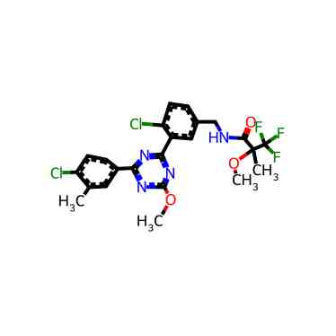 COc1nc(-c2ccc(Cl)c(C)c2)nc(-c2cc(CNC(=O)C(C)(OC)C(F)(F)F)ccc2Cl)n1